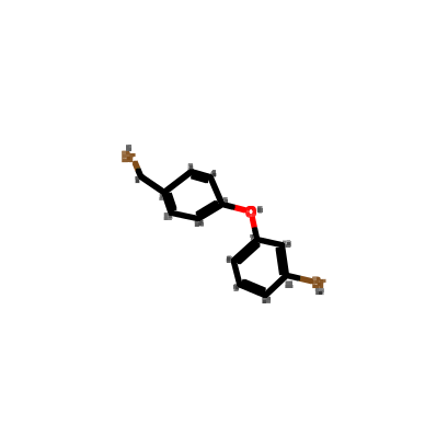 BrCc1ccc(Oc2cccc(Br)c2)cc1